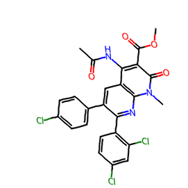 COC(=O)c1c(NC(C)=O)c2cc(-c3ccc(Cl)cc3)c(-c3ccc(Cl)cc3Cl)nc2n(C)c1=O